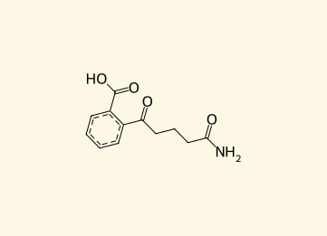 NC(=O)CCCC(=O)c1ccccc1C(=O)O